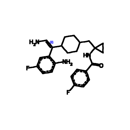 N/C=C(\c1cc(F)ccc1N)C1CCC(CC2(NC(=O)c3ccc(F)cc3)CC2)CC1